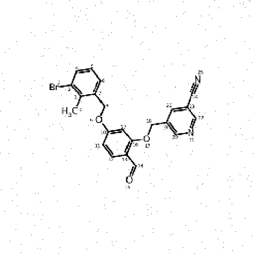 Cc1c(Br)cccc1COc1ccc(C=O)c(OCc2cncc(C#N)c2)c1